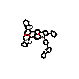 c1ccc(-c2ccc(-c3ccc(-c4cccc5c4oc4ccccc45)cc3)c(N(c3ccc(-c4cccc5c4oc4ccccc45)cc3)c3ccc(-c4cccc5c4oc4ccccc45)cc3)c2)cc1